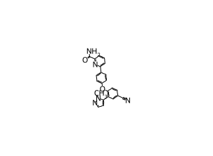 Cn1nccc1-c1cc(C#N)ccc1Oc1ccc(-c2cccc(C(N)=O)n2)cc1